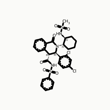 CS(=O)(=O)N[C@H]1CCCC[C@@H]1N1C(=O)c2ccccc2[C@@H](C(=O)NS(=O)(=O)c2ccccc2)[C@@H]1c1ccc(Cl)cc1Cl